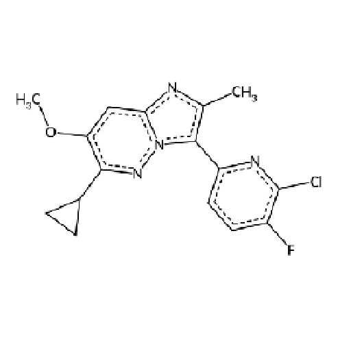 COc1cc2nc(C)c(-c3ccc(F)c(Cl)n3)n2nc1C1CC1